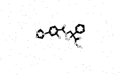 COC(=O)C(C)(CNC(=O)c1ccc(-n2cnnc2)cc1Cl)c1ccccc1